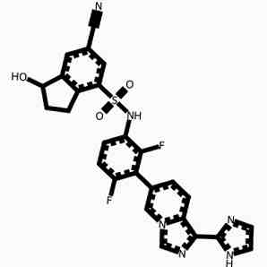 N#Cc1cc2c(c(S(=O)(=O)Nc3ccc(F)c(-c4ccc5c(-c6ncc[nH]6)ncn5c4)c3F)c1)CCC2O